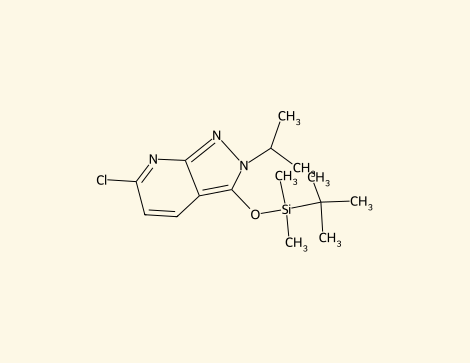 CC(C)n1nc2nc(Cl)ccc2c1O[Si](C)(C)C(C)(C)C